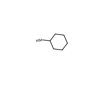 [SeH][C]1CCCCC1